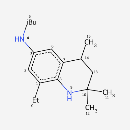 CCc1cc(NC(C)CC)cc2c1NC(C)(C)CC2C